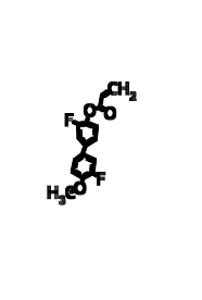 C=CC(=O)Oc1ccc(-c2ccc(OC)c(F)c2)cc1F